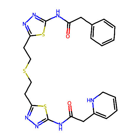 O=C(CC1=CC=CCN1)Nc1nnc(CCSCCc2nnc(NC(=O)Cc3ccccc3)s2)s1